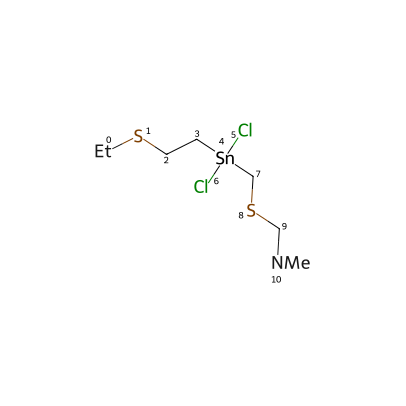 CCSC[CH2][Sn]([Cl])([Cl])[CH2]SCNC